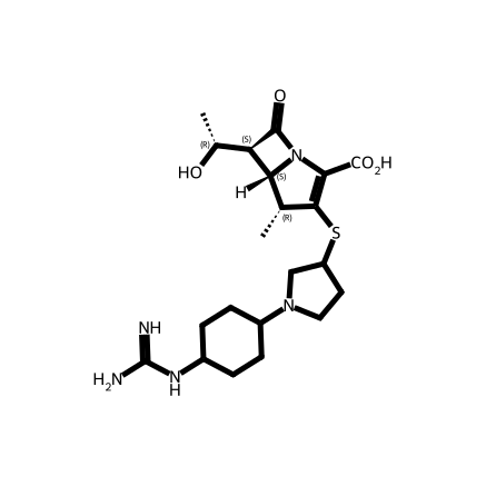 C[C@@H](O)[C@H]1C(=O)N2C(C(=O)O)=C(SC3CCN(C4CCC(NC(=N)N)CC4)C3)[C@H](C)[C@H]12